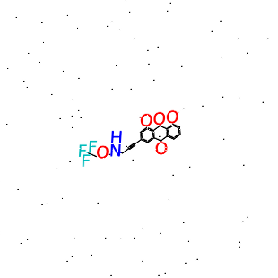 COc1cccc2c1C(=O)c1c(OC)cc(C#CCNCOCC(F)(F)F)cc1C2=O